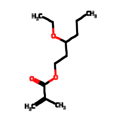 C=C(C)C(=O)OCCC(CCC)OCC